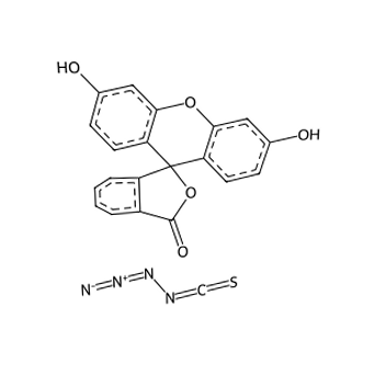 O=C1OC2(c3ccc(O)cc3Oc3cc(O)ccc32)c2ccccc21.[N-]=[N+]=NN=C=S